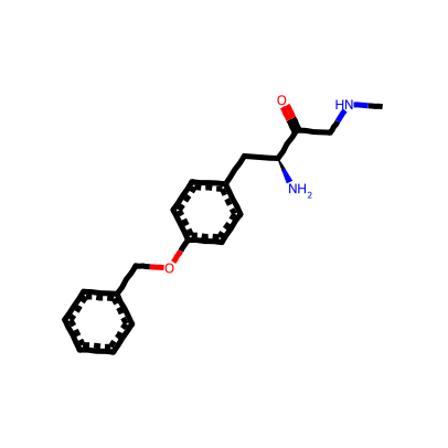 CNCC(=O)[C@@H](N)Cc1ccc(OCc2ccccc2)cc1